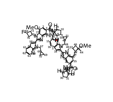 COc1cc(C(=O)N2C[C@H]3CC[C@@H]2[C@@H]3Nc2ccc3cc(-c4nc5cc(C(=O)N6C[C@H]7CC[C@@H]6[C@@H]7N)cc(F)c5n4C[C@H]4C[C@@](C)(OC)C4)n(CC4CC4)c3n2)cc2nc(-c3cc4cccnc4n3CC3CC3)n([C@H]3C[C@H](F)C3)c12